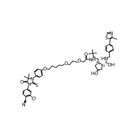 Cc1ncsc1-c1ccc(CNC(O)[C@@H]2C[C@@H](O)CN2C[C@@H](NC(=O)COCCCOCCCCCOc2ccc(N3C(=S)N(c4ccc(C#N)c(Cl)c4)C(=O)C3(C)C)cc2)C(C)(C)C)cc1